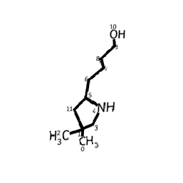 CC1(C)CNC(CCCCO)C1